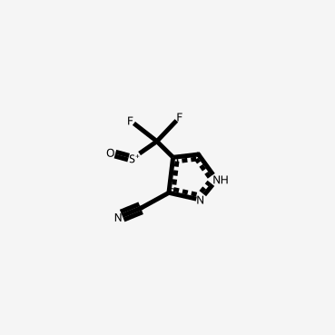 N#Cc1n[nH]cc1C(F)(F)[S+]=O